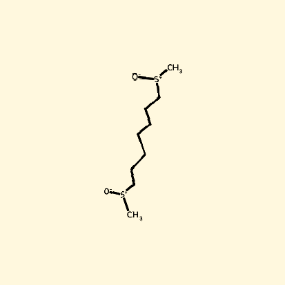 C[S+]([O-])CCCCCCC[S+](C)[O-]